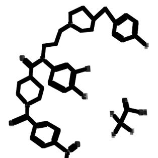 O=C(O)C(F)(F)F.O=C(c1ccc([N+](=O)[O-])cc1)N1CCC(C(=O)N(CCCN2CCC(Cc3ccc(F)cc3)CC2)c2ccc(Cl)c(Cl)c2)CC1